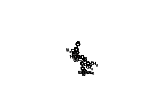 CCP(=O)(CC)c1ccc(-n2ccn(-c3c4c(nn3-c3cc(C)c(F)c(C)c3)CCN(C(=O)c3cc5cc(C6CCOCC6)ccc5n3[C@@]3(c5noc(=O)[nH]5)C[C@@H]3C)[C@H]4C)c2=O)cc1CNC